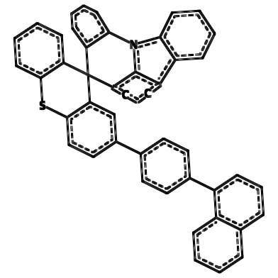 c1ccc2c(c1)Sc1ccc(-c3ccc(-c4cccc5ccccc45)cc3)cc1C21c2ccccc2-n2c3ccccc3c3cccc1c32